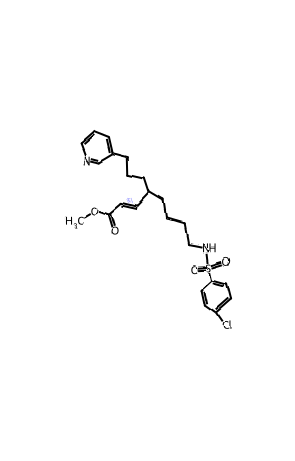 COC(=O)/C=C/C(CCCCNS(=O)(=O)c1ccc(Cl)cc1)CCCc1cccnc1